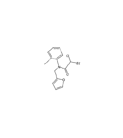 CCC(Cl)C(=O)N(Cc1ccco1)c1ccccc1C